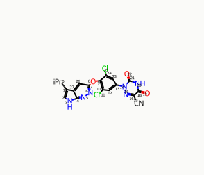 CC(C)c1c[nH]c2nnc(Oc3c(Cl)cc(-n4nc(C#N)c(=O)[nH]c4=O)cc3Cl)cc12